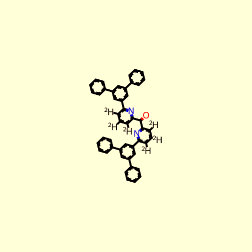 [2H]c1c(C(=O)c2nc(-c3cc(-c4ccccc4)cc(-c4ccccc4)c3)c([2H])c([2H])c2[2H])nc(-c2cc(-c3ccccc3)cc(-c3ccccc3)c2)c([2H])c1[2H]